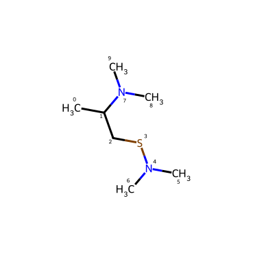 CC(CSN(C)C)N(C)C